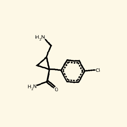 NCC1CC1(C(N)=O)c1ccc(Cl)cc1